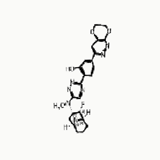 CN(c1cnc(-c2ccc(-c3cc4c(nn3)OCCO4)cc2O)nn1)[C@H]1C[C@@H]2CCC[C@@H](N2)[C@H]1F